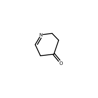 O=C1CC=NCC1